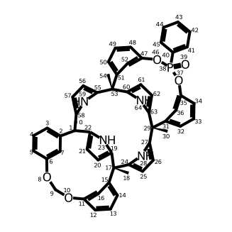 C[C@]12c3cccc(c3)OCOc3cccc(c3)[C@](C)(c3ccc1[nH]3)c1ccc([nH]1)[C@@]1(C)c3cccc(c3)OP(=O)(c3ccccc3)Oc3cccc(c3)[C@@](C)(c3ccc2[nH]3)c2ccc1[nH]2